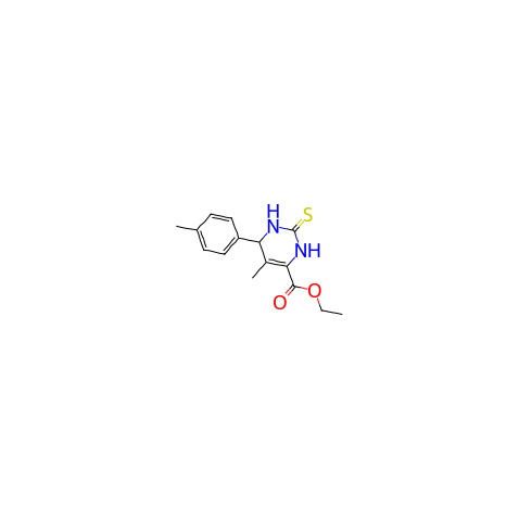 CCOC(=O)C1=C(C)C(c2ccc(C)cc2)NC(=S)N1